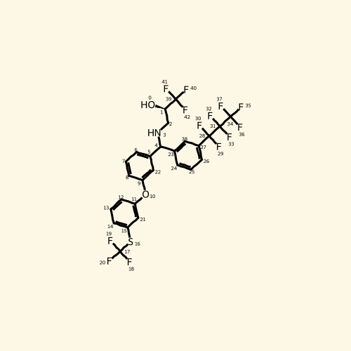 O[C@H](CNC(c1cccc(Oc2cccc(SC(F)(F)F)c2)c1)c1cccc(C(F)(F)C(F)(F)C(F)(F)F)c1)C(F)(F)F